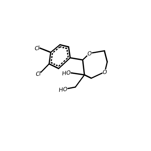 OCC1(O)COCCOC1c1ccc(Cl)c(Cl)c1